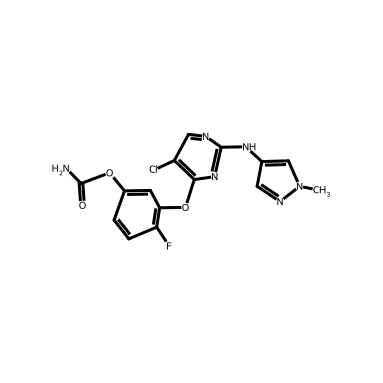 Cn1cc(Nc2ncc(Cl)c(Oc3cc(OC(N)=O)ccc3F)n2)cn1